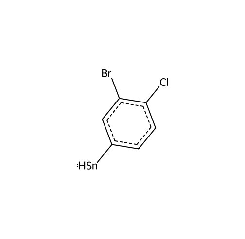 Clc1cc[c]([SnH])cc1Br